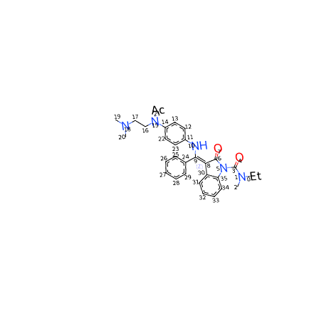 CCN(C)C(=O)N1C(=O)/C(=C(\Nc2ccc(N(CCN(C)C)C(C)=O)cc2)c2ccccc2)c2ccccc21